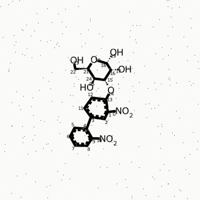 O=[N+]([O-])c1cc(-c2ccccc2[N+](=O)[O-])ccc1O[C@H]1[C@@H](O)[C@@H](O)O[C@H](CO)[C@@H]1O